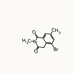 Cc1cc(Br)c2c(c1)C(=O)N(C)C(=O)C2